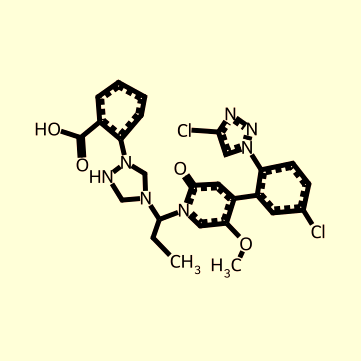 CCC(N1CNN(c2ccccc2C(=O)O)C1)n1cc(OC)c(-c2cc(Cl)ccc2-n2cc(Cl)nn2)cc1=O